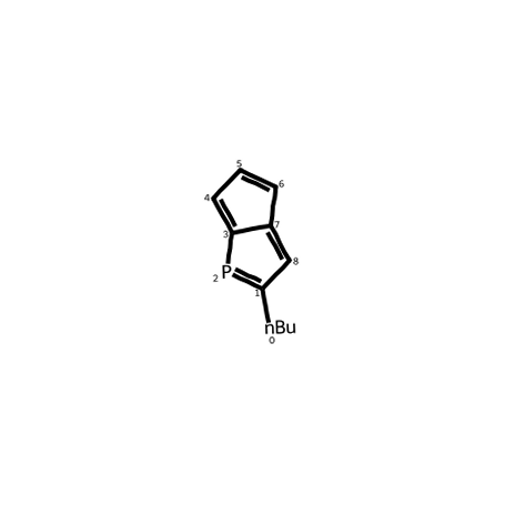 CCCCC1=PC2=CC=CC2=C1